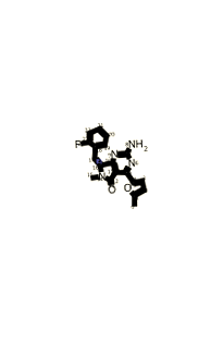 Cc1ccc(-c2nc(N)nc3c2C(=O)N(C)/C3=C/c2ccccc2F)o1